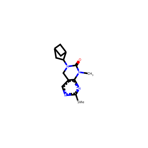 CSc1ncc2c(n1)N(C)C(=O)N(C1CC3CC1C3)C2